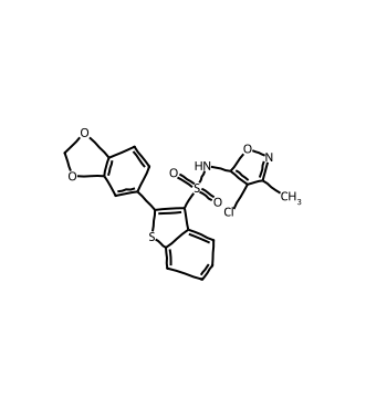 Cc1noc(NS(=O)(=O)c2c(-c3ccc4c(c3)OCO4)sc3ccccc23)c1Cl